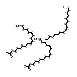 CCCCC/C=C\C/C=C\CCCCCCCC(=O)[O-].CCCCC/C=C\C/C=C\CCCCCCCC(=O)[O-].CCCCCCC[CH2][Sn+2][CH2]CCCCCCC